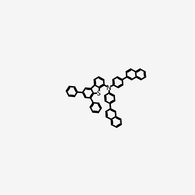 c1ccc(-c2cc(-c3ccccc3)c3sc4c(N(c5ccc(-c6ccc7ccccc7c6)cc5)c5ccc(-c6ccc7ccccc7c6)cc5)cccc4c3c2)cc1